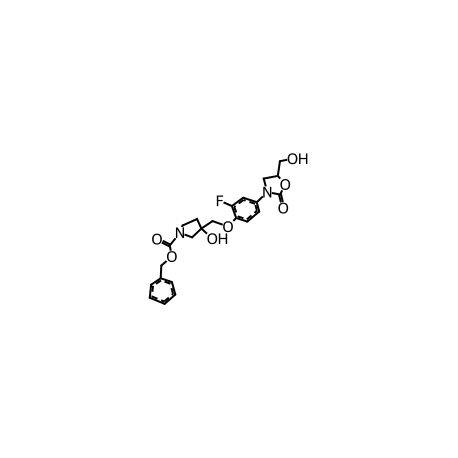 O=C(OCc1ccccc1)N1CCC(O)(COc2ccc(N3CC(CO)OC3=O)cc2F)C1